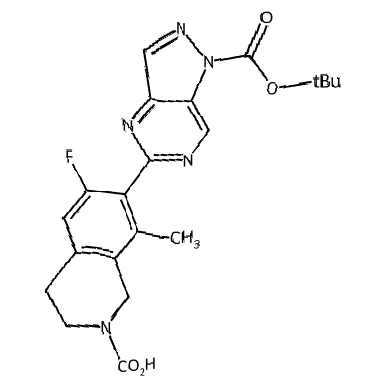 Cc1c2c(cc(F)c1-c1ncc3c(cnn3C(=O)OC(C)(C)C)n1)CCN(C(=O)O)C2